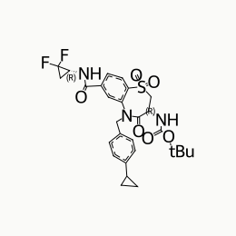 CC(C)(C)OC(=O)N[C@H]1CS(=O)(=O)c2ccc(C(=O)N[C@@H]3CC3(F)F)cc2N(Cc2ccc(C3CC3)cc2)C1=O